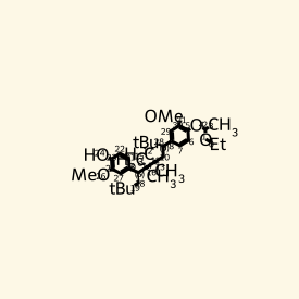 CCOC(C)Oc1ccc([C@@H](CC(C)(C)C(C)(C)[C@@H](CC(C)(C)C)c2ccc(O)c(OC)c2)C(C)(C)C)cc1OC